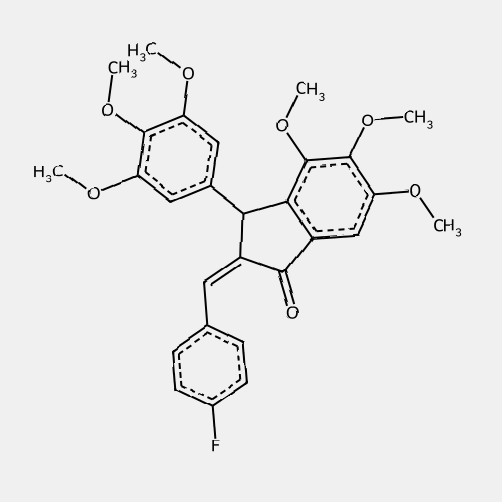 COc1cc(C2C(=Cc3ccc(F)cc3)C(=O)c3cc(OC)c(OC)c(OC)c32)cc(OC)c1OC